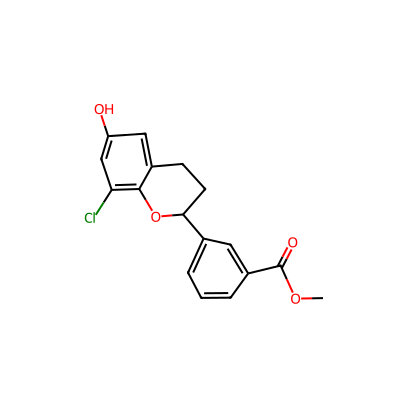 COC(=O)c1cccc(C2CCc3cc(O)cc(Cl)c3O2)c1